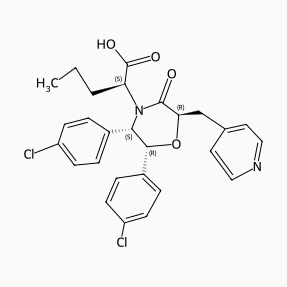 CCC[C@@H](C(=O)O)N1C(=O)[C@@H](Cc2ccncc2)O[C@H](c2ccc(Cl)cc2)[C@@H]1c1ccc(Cl)cc1